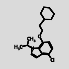 CC(C)n1ccc2c(Cl)ccc(OCCC3CCCCC3)c21